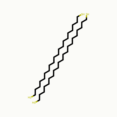 SCCCCCCCCCCCCCCCCCCCCCS.SCCCCCCCCCCCCCCCCCCCCS